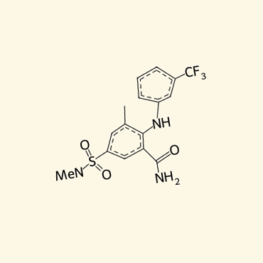 CNS(=O)(=O)c1cc(C)c(Nc2cccc(C(F)(F)F)c2)c(C(N)=O)c1